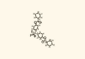 O=C(Oc1ccc(C(c2ccc(OC(=O)c3ccccc3)cc2)C(F)(F)F)cc1)c1ccccc1